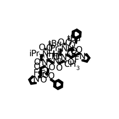 CC(C)[C@H](NC(=O)OC(C)(C)C)C(=O)N([C@@H](C)C(=O)NC(=O)[C@H](C)N(C(=O)[C@@H](NC(=O)OC(C)(C)C)C(C)C)[C@@H](CC(=O)OCc1ccccc1)C(=O)C(F)(F)C(=O)N1CCCC1)[C@@H](CC(=O)OCc1ccccc1)C(=O)C(F)(F)C(=O)N1CCCC1